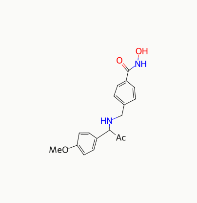 COc1ccc(C(NCc2ccc(C(=O)NO)cc2)C(C)=O)cc1